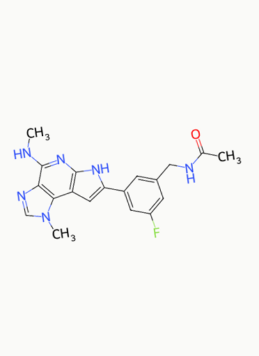 CNc1nc2[nH]c(-c3cc(F)cc(CNC(C)=O)c3)cc2c2c1ncn2C